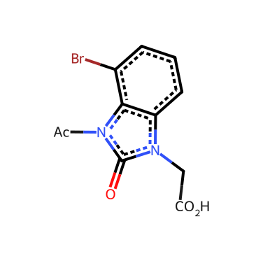 CC(=O)n1c(=O)n(CC(=O)O)c2cccc(Br)c21